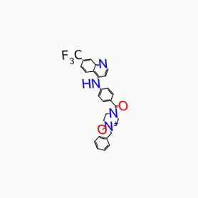 O=C(c1ccc(Nc2ccnc3cc(C(F)(F)F)ccc23)cc1)N1CC[N+]([O-])(Cc2ccccc2)CC1